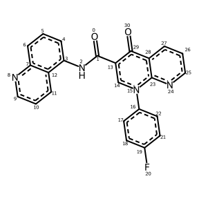 O=C(Nc1cccc2ncccc12)c1cn(-c2ccc(F)cc2)c2ncccc2c1=O